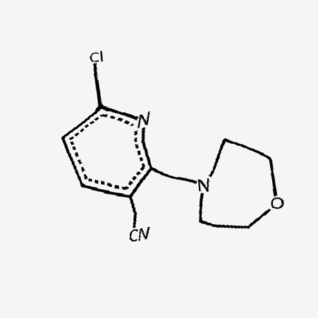 N#Cc1ccc(Cl)nc1N1CCOCC1